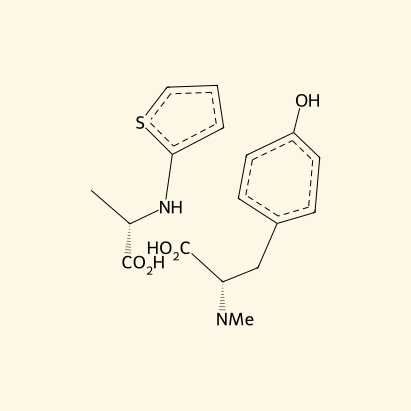 CN[C@@H](Cc1ccc(O)cc1)C(=O)O.C[C@H](Nc1cccs1)C(=O)O